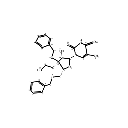 Cc1cn([C@@H]2O[C@H](COCc3ccccc3)[C@@](CCO)(OCc3ccccc3)[C@@H]2O)c(=O)[nH]c1=O